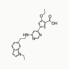 CCOc1cc(-c2cc(NCCc3ccc4ccn(CC)c4c3)ncn2)sc1C(=O)O